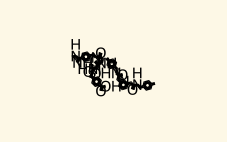 CNC(=N)c1ccc(CNC(=O)[C@H](Cc2ccc(CNC(=O)Cc3cccc(CC(=O)NCc4ccc(C)cc4)n3)cc2)NC(=O)CNS(=O)(=O)Cc2ccc(C(=O)O)cc2)cc1